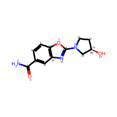 NC(=O)c1ccc2oc(N3CC[C@@H](O)C3)nc2c1